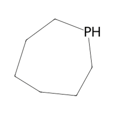 C1CCCPCC1